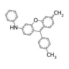 C=c1ccc2c(c1)Oc1cc(Nc3ccccc3)ccc1C=2c1ccc(C)cc1